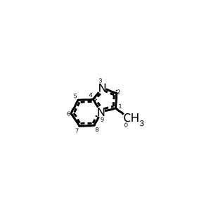 Cc1[c]nc2ccccn12